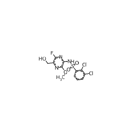 COc1nc(CO)c(F)nc1NS(=O)(=O)c1cccc(Cl)c1Cl